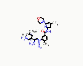 CO/C(C)=C/C(=C\N)C(/N)=C/N(N)c1cc(C(=O)Nc2cc(C(F)(F)F)cc(N3CCOCC3)n2)ccc1C